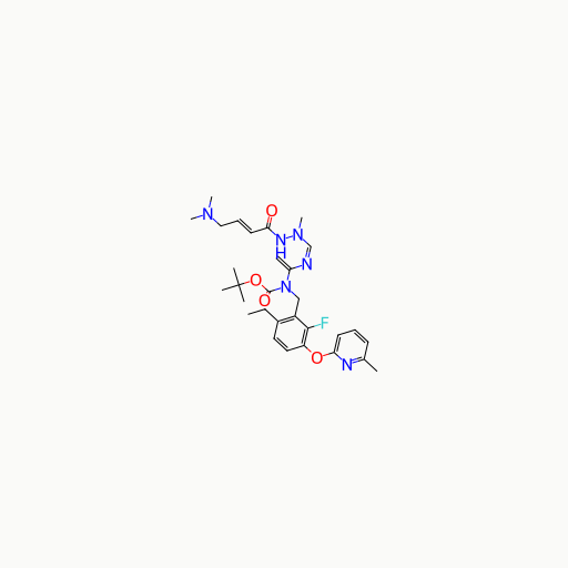 C=C(/N=C\N(C)NC(=O)/C=C/CN(C)C)N(Cc1c(CC)ccc(Oc2cccc(C)n2)c1F)C(=O)OC(C)(C)C